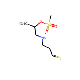 CS(=O)(=O)OC(C=O)CNCCC=S